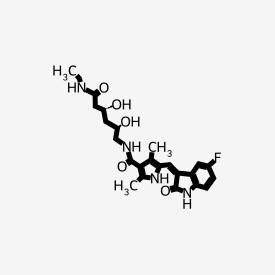 CCNC(=O)C[C@H](O)C[C@H](O)CNC(=O)c1c(C)[nH]c(/C=C2\C(=O)Nc3ccc(F)cc32)c1C